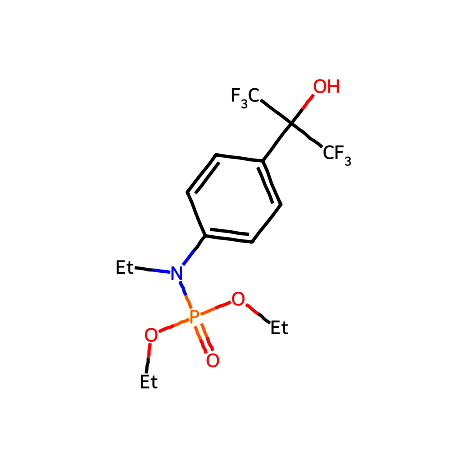 CCOP(=O)(OCC)N(CC)c1ccc(C(O)(C(F)(F)F)C(F)(F)F)cc1